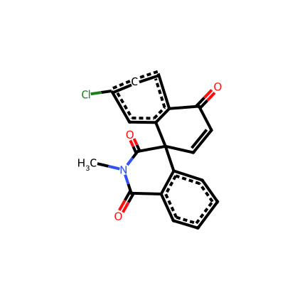 CN1C(=O)c2ccccc2C2(C=CC(=O)c3ccc(Cl)cc32)C1=O